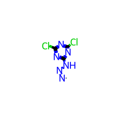 [N]=NNc1nc(Cl)nc(Cl)n1